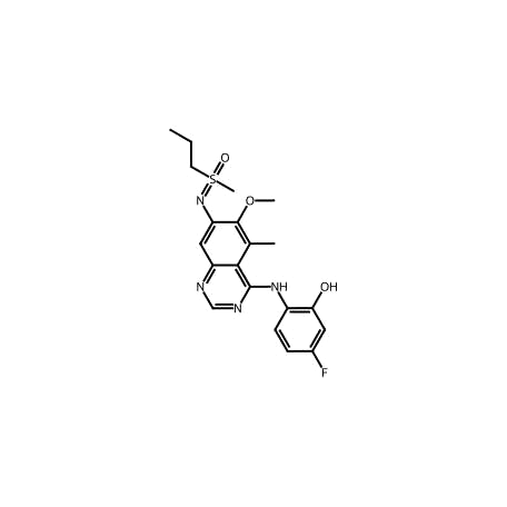 CCCS(C)(=O)=Nc1cc2ncnc(Nc3ccc(F)cc3O)c2c(C)c1OC